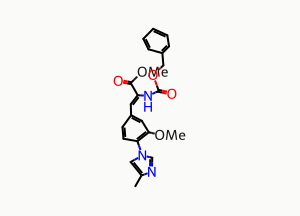 COC(=O)C(=Cc1ccc(-n2cnc(C)c2)c(OC)c1)NC(=O)OCc1ccccc1